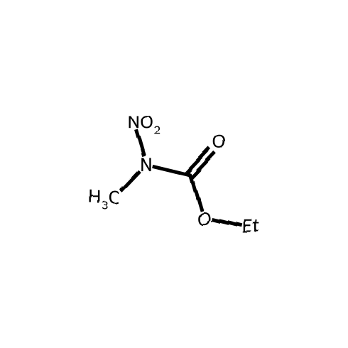 CCOC(=O)N(C)[N+](=O)[O-]